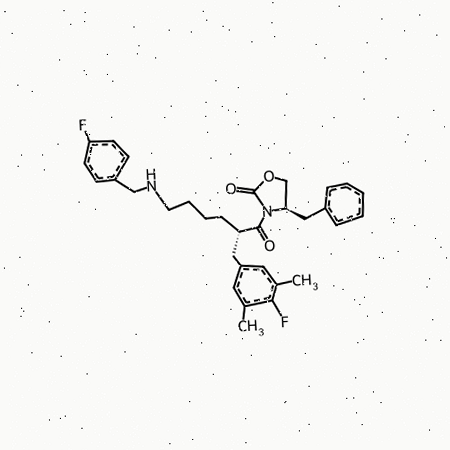 Cc1cc(C[C@H](CCCCNCc2ccc(F)cc2)C(=O)N2C(=O)OC[C@H]2Cc2ccccc2)cc(C)c1F